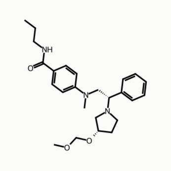 CCCNC(=O)c1ccc(N(C)C[C@H](c2ccccc2)N2CC[C@H](OCOC)C2)cc1